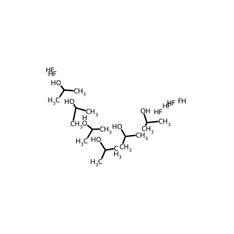 CC(C)O.CC(C)O.CC(C)O.CC(C)O.CC(C)O.CC(C)O.F.F.F.F.F.F